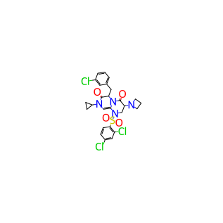 O=C1C(Cc2cccc(Cl)c2)N2C(=O)C(N3CCC3)CN(S(=O)(=O)c3ccc(Cl)cc3Cl)C2=CN1C1CC1